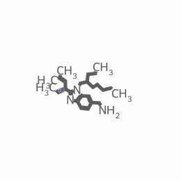 C/C=C(\C=C(C)C)c1nc2ccc(CN)cc2n1CC(CCC)CCCCC